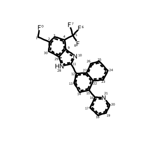 FCc1cc(C(F)(F)F)c2nc(-c3ccc(-c4ccccn4)c4ccccc34)[nH]c2c1